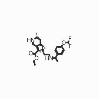 CCOC(=O)c1c2c(nn1CCNC(C)c1ccc(OC(F)F)cc1)C[C@@H](C)NC2